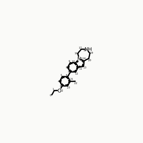 CCOc1ccc(-c2ccc3c(c2)cc2n3CCNCC2)c(C)c1